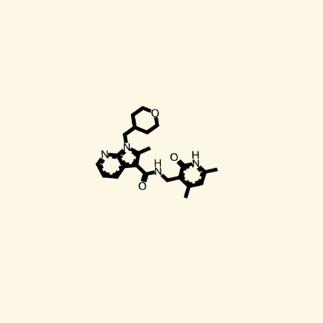 Cc1cc(C)c(CNC(=O)c2c(C)n(CC3CCOCC3)c3ncccc23)c(=O)[nH]1